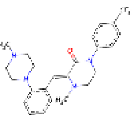 CN1CCN(c2ccccc2/C=C2/C(=O)N(c3ccc(C(F)(F)F)cc3)CCN2C)CC1